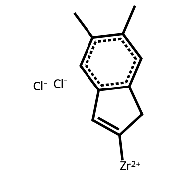 Cc1cc2c(cc1C)C[C]([Zr+2])=C2.[Cl-].[Cl-]